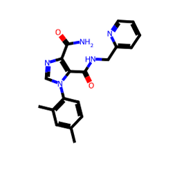 Cc1ccc(-n2cnc(C(N)=O)c2C(=O)NCc2ccccn2)c(C)c1